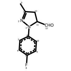 CC1=NN(c2ccc(F)cc2)C(C=O)C1